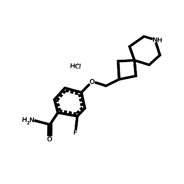 Cl.NC(=O)c1ccc(OCC2CC3(CCNCC3)C2)cc1F